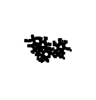 [2H]c1c([2H])c([C@]2([2H])N(C([2H])([2H])c3nn(P(=O)(OC)OC)c(=O)n3[2H])C(C)(C)C([2H])(C)O[C@]2([2H])O[C@@](C)(c2c([2H])c(C(F)(F)F)c([2H])c(C(F)(F)F)c2C)C([2H])(C)C)c(C)c([2H])c1F